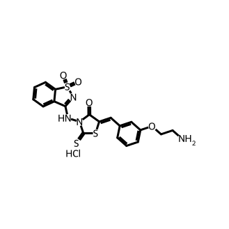 Cl.NCCOc1cccc(C=C2SC(=S)N(NC3=NS(=O)(=O)c4ccccc43)C2=O)c1